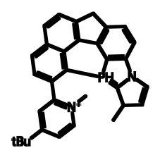 CC1C=CN2C1=[PH]1c3c2ccc2c3-c3c(ccc4ccc(-c5cc(C(C)(C)C)cc[n+]5C)c1c34)C2